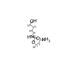 C[C@H](CCN)OC(=O)NCCCCO